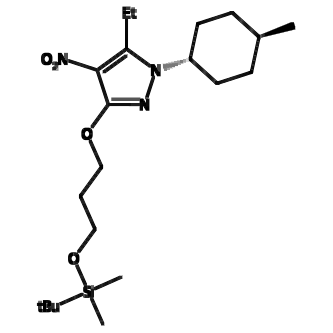 CCc1c([N+](=O)[O-])c(OCCCO[Si](C)(C)C(C)(C)C)nn1[C@H]1CC[C@H](C)CC1